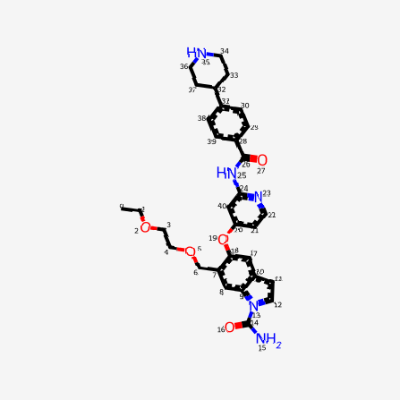 CCOCCOCc1cc2c(ccn2C(N)=O)cc1Oc1ccnc(NC(=O)c2ccc(C3CCNCC3)cc2)c1